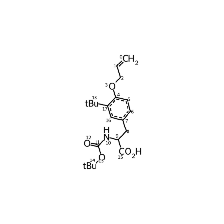 C=CCOc1ccc(CC(NC(=O)OC(C)(C)C)C(=O)O)cc1C(C)(C)C